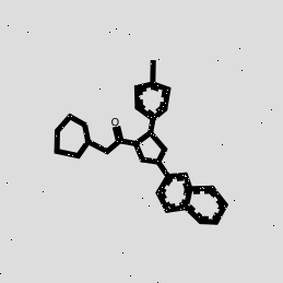 Cc1ccc(C2CC(c3ccc4ccccc4c3)CC2C(=O)CC2CCCCC2)cc1